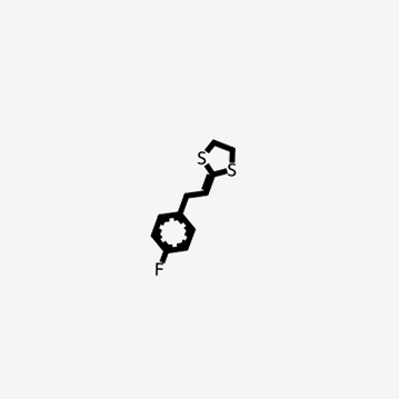 Fc1ccc(CC=C2SCCS2)cc1